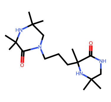 CC1(C)CN(CCCC2(C)NC(C)(C)CNC2=O)C(=O)C(C)(C)N1